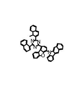 CC1C(c2nc(-c3cccc4ccccc34)nc(-c3ccc(-n4c5ccccc5c5cc6ccccc6cc54)c4oc5ccccc5c34)n2)=CC=C2C=CC=CC21